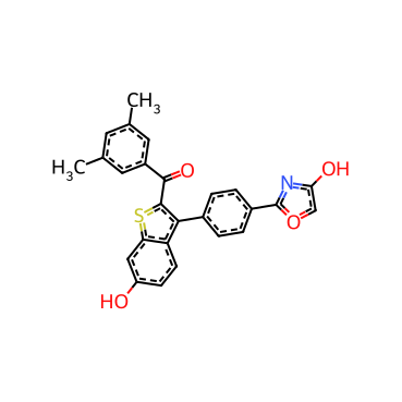 Cc1cc(C)cc(C(=O)c2sc3cc(O)ccc3c2-c2ccc(-c3nc(O)co3)cc2)c1